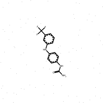 NC(=O)Nc1ccc(Nc2cccc(C(F)(F)F)c2)cc1